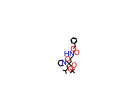 CC(C)CC[C@@](CCCNC(=O)OCc1ccccc1)(C(=O)OC(C)(C)C)C(=O)N1CCCCC1